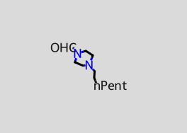 CCCCCCCN1CCN(C=O)CC1